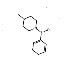 CN1CCN([S+]([O-])C2=CCCC=C2)CC1